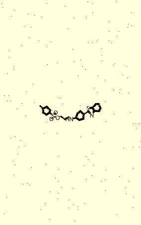 Cc1ccc(S(=O)(=O)OCCCNc2ccc(-c3nc4ccccc4s3)cc2)cc1